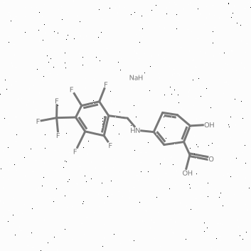 O=C(O)c1cc(NCc2c(F)c(F)c(C(F)(F)F)c(F)c2F)ccc1O.[NaH]